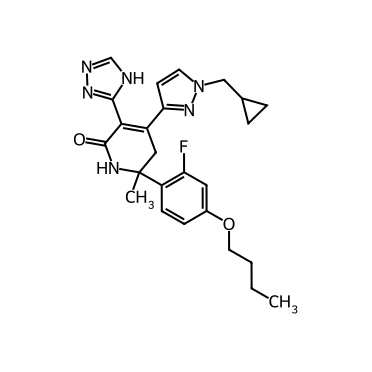 CCCCOc1ccc(C2(C)CC(c3ccn(CC4CC4)n3)=C(c3nnc[nH]3)C(=O)N2)c(F)c1